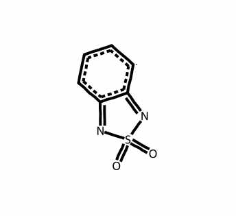 O=S1(=O)N=c2[c]cccc2=N1